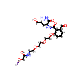 NC(=O)C(CCC=O)NC(=O)c1c(C=O)cccc1OCCOCCOCCNC(=O)COI